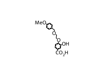 COc1ccc(COCCOc2ccc(C(=O)O)cc2O)cc1